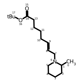 CC1CCCCN1CC=CCCCCC(=O)OC(C)(C)C